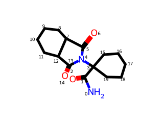 NC(=O)C1(N2C(=O)C3CCCCC3C2=O)CCCCC1